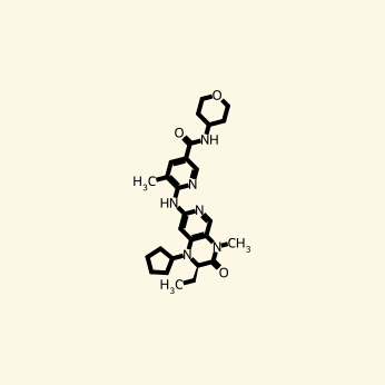 CC[C@@H]1C(=O)N(C)c2cnc(Nc3ncc(C(=O)NC4CCOCC4)cc3C)cc2N1C1CCCC1